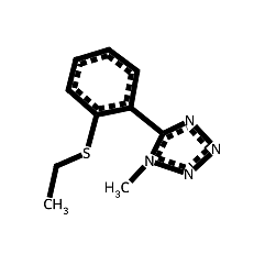 CCSc1ccccc1-c1nnnn1C